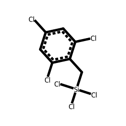 Clc1cc(Cl)c(C[Si](Cl)(Cl)Cl)c(Cl)c1